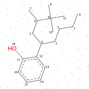 CCCCC(CC(C)C(C)(C)C)c1ccccc1O